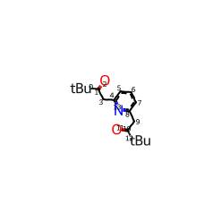 CC(C)(C)C(=O)Cc1cccc(CC(=O)C(C)(C)C)n1